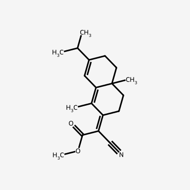 COC(=O)C(C#N)=C1CCC2(C)CCC(C(C)C)=CC2=C1C